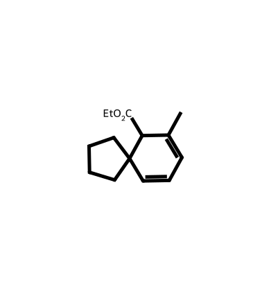 CCOC(=O)C1C(C)=CC=CC12CCCC2